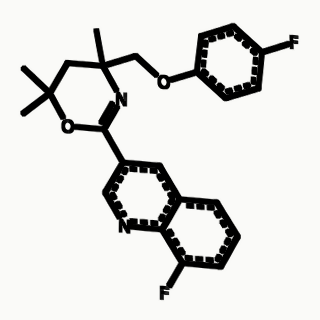 CC1(COc2ccc(F)cc2)CC(C)(C)OC(c2cnc3c(F)cccc3c2)=N1